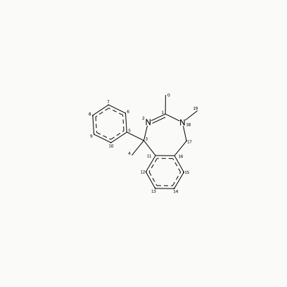 CC1=NC(C)(c2ccccc2)c2ccccc2CN1C